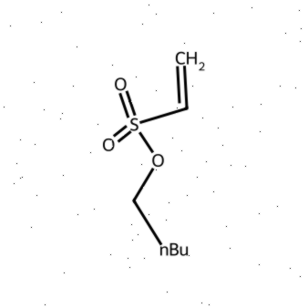 C=CS(=O)(=O)OCCCCC